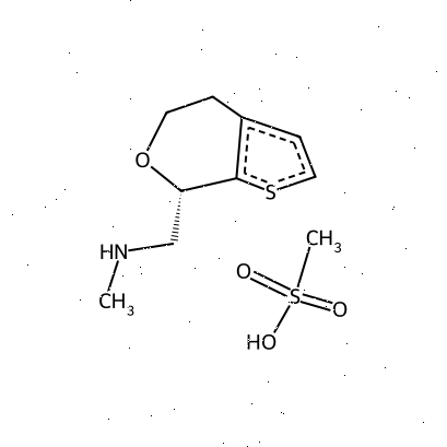 CNC[C@@H]1OCCc2ccsc21.CS(=O)(=O)O